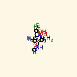 Cc1ccc(C(CC(=O)Nc2cccnc2)c2ccc(C#N)cc2C)cc1CN1CC(C)Cc2ccc(C(F)(F)F)cc2S1(O)O